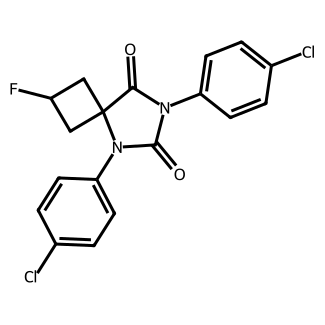 O=C1N(c2ccc(Cl)cc2)C(=O)C2(CC(F)C2)N1c1ccc(Cl)cc1